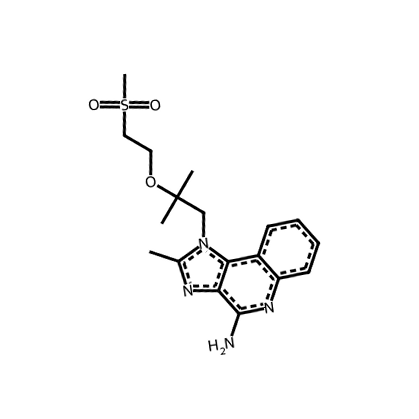 Cc1nc2c(N)nc3ccccc3c2n1CC(C)(C)OCCS(C)(=O)=O